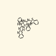 c1ccc(C23NC(=Nc4nc5ccccc5s4)NC2(c2ccccn2)NC(=Nc2nc4ccccc4s2)N3)nc1